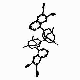 C#Cc1cc2cccc(C34CC5(C)CC(C)(C3)CC(C36CC7(C)CC(C)(CC(c8cccc9cc(C#C)c(C#C)cc89)(C7)C3)C6)(C5)C4)c2cc1C#C